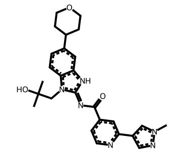 Cn1cc(-c2cc(C(=O)/N=c3\[nH]c4cc(C5CCOCC5)ccc4n3CC(C)(C)O)ccn2)cn1